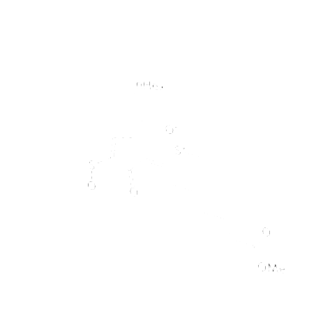 CCCCCC/C=C/C1C=C([S+](C)[O-])C(=O)/C1=C(\CCCCCC(=O)OC)[S+](C)[O-]